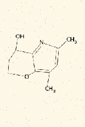 Cc1cc(C)c2c(n1)C(O)CCO2